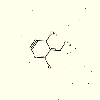 C/C=C1/C(Cl)=NC#CC1C